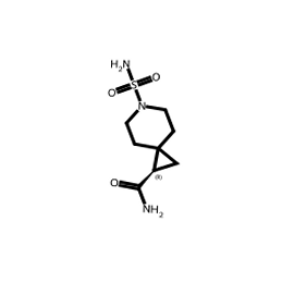 NC(=O)[C@@H]1CC12CCN(S(N)(=O)=O)CC2